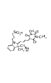 CN1C(=O)C(=CC=CC=C2N(CCCS(=O)(=O)O)c3ccccc3C2(C)C)C(=O)N(C)C1=S.[NaH]